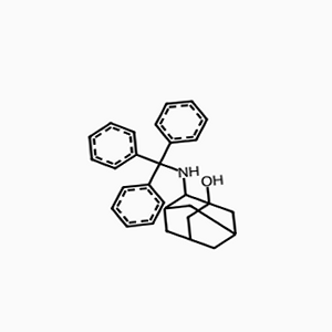 OC12CC3CC(CC(C3)C1NC(c1ccccc1)(c1ccccc1)c1ccccc1)C2